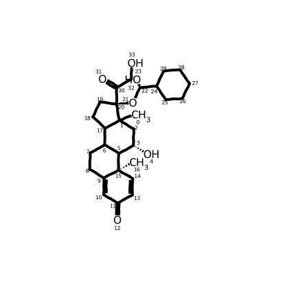 CC12C[C@H](O)C3C(CCC4=CC(=O)C=C[C@@]43C)C1CC[C@]2(O[C@@H](O)C1CCCCC1)C(=O)CO